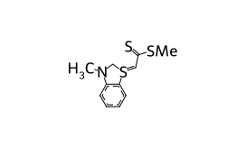 CSC(=S)C=S1CN(C)c2ccccc21